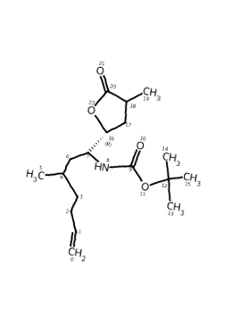 C=CCCC(C)CC(NC(=O)OC(C)(C)C)[C@H]1CC(C)C(=O)O1